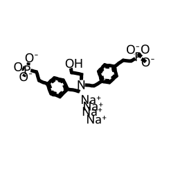 O=P([O-])([O-])CCc1ccc(CN(CCO)Cc2ccc(CCP(=O)([O-])[O-])cc2)cc1.[Na+].[Na+].[Na+].[Na+]